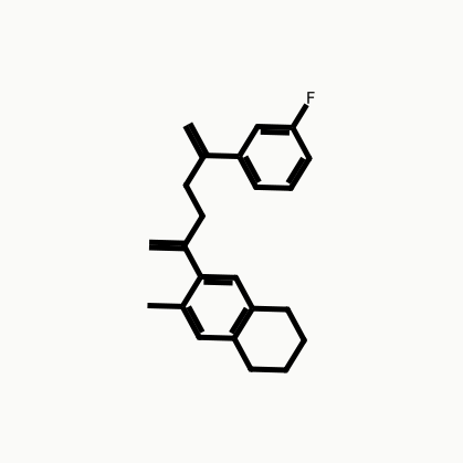 C=C(CCC(=C)c1cc2c(cc1C)CCCC2)c1cccc(F)c1